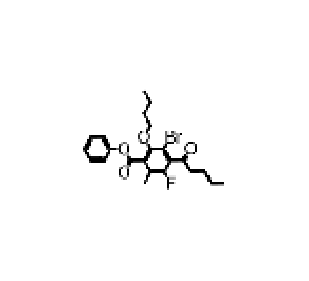 CCCCOc1c(Br)c(C(=O)CCCC)c(F)c(C)c1C(=O)Oc1ccccc1